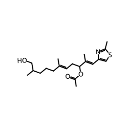 CC(=O)OC(C/C=C(\C)CCCC(C)CO)/C(C)=C/c1csc(C)n1